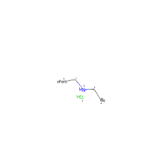 CCCCCCNCC(C)CC.Cl